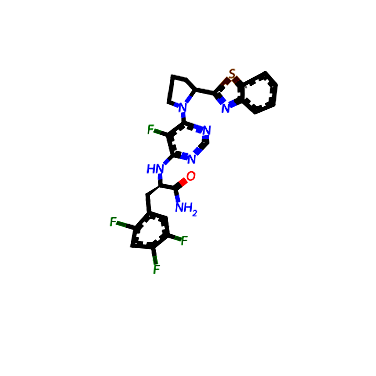 NC(=O)[C@@H](Cc1cc(F)c(F)cc1F)Nc1ncnc(N2CCCC2c2nc3ccccc3s2)c1F